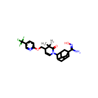 CC1(C)C(=O)N(C2C3CC4CC2CC(/C(N)=N\O)(C4)C3)C=CC1COc1ccc(C(F)(F)F)cn1